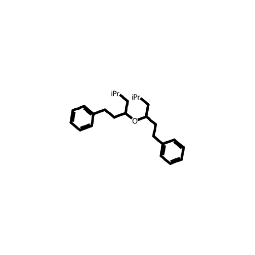 CC(C)CC(CCc1ccccc1)OC(CCc1ccccc1)CC(C)C